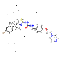 CC(C)(c1ccc(Br)cc1)c1csc(NC(=O)NCc2ccc(OCCN3CCNCC3)cc2)n1